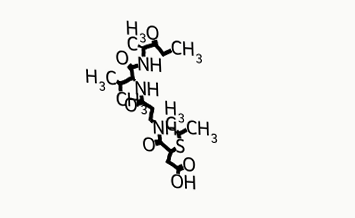 CCC(=O)[C@H](C)NC(=O)[C@@H](NC(=O)CCNC(=O)C(CC(=O)O)SC(C)C)C(C)C